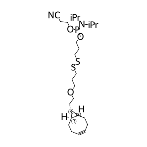 CC(C)N(C(C)C)P(OCCC#N)OCCCSSCCCOCC[C@H]1[C@@H]2CCC#CCC[C@@H]21